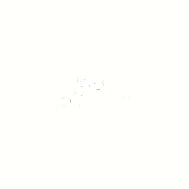 CCOC(=O)Cc1ccc(-n2cnc3cc(-c4ccc(Cl)cc4Cl)ccc32)cc1